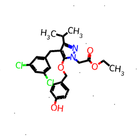 CCOC(=O)Cn1nc(C(C)C)c(Cc2cc(Cl)cc(Cl)c2)c1OCc1ccc(O)cc1